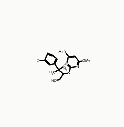 COc1cc(OC)nc(SC(CO)C(C)(C)c2cccc(Cl)c2)n1